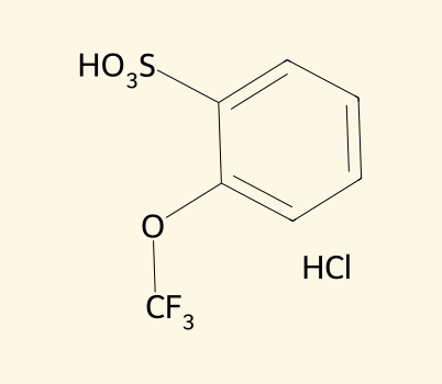 Cl.O=S(=O)(O)c1ccccc1OC(F)(F)F